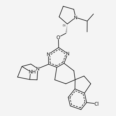 CC(C)N1CCC[C@H]1COc1nc2c(c(N3CC4CC(C3)N4)n1)CCC1(CCc3c(Cl)cccc31)C2